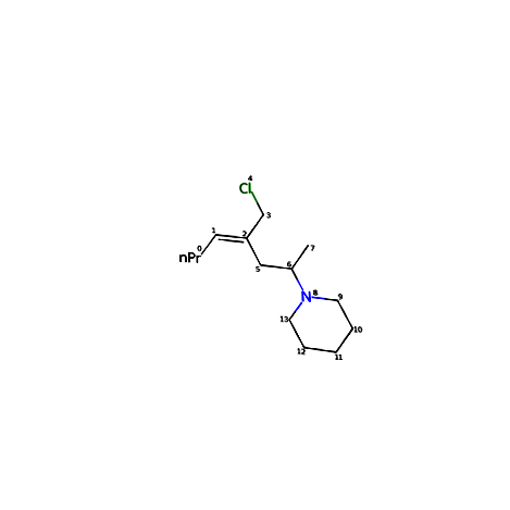 CCC/C=C(/CCl)CC(C)N1CCCCC1